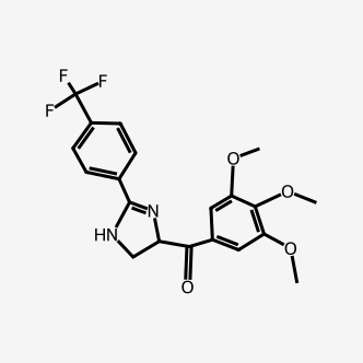 COc1cc(C(=O)C2CNC(c3ccc(C(F)(F)F)cc3)=N2)cc(OC)c1OC